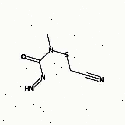 CN(SCC#N)C(=O)N=N